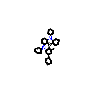 Cc1cc(-c2ccccc2)cc2c1B1c3ccccc3N(c3ccccc3)c3cccc(c31)N2c1ccccc1